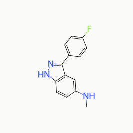 CNc1ccc2[nH]nc(-c3ccc(F)cc3)c2c1